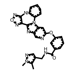 Cc1c(CNC(=O)c2cccc(Oc3cc4c(cn3)nc(-c3nonc3N)n4-c3ccccc3)c2)cnn1C